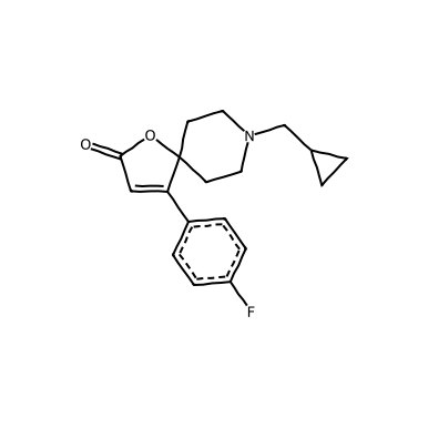 O=C1C=C(c2ccc(F)cc2)C2(CCN(CC3CC3)CC2)O1